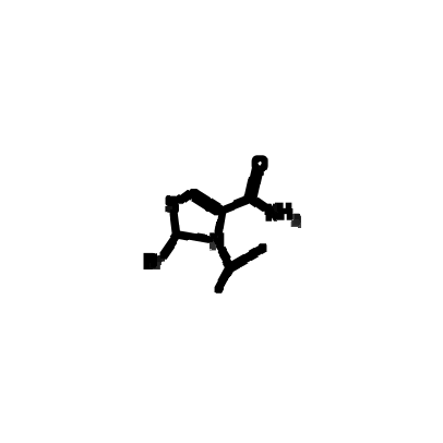 CC(C)N1C(C(N)=O)=CSC1Br